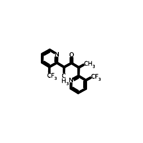 CC(C(=O)C(C)c1ncccc1C(F)(F)F)c1ncccc1C(F)(F)F